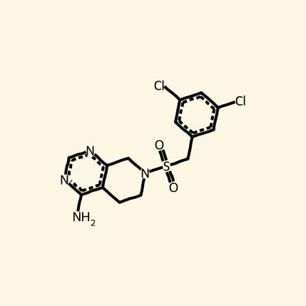 Nc1ncnc2c1CCN(S(=O)(=O)Cc1cc(Cl)cc(Cl)c1)C2